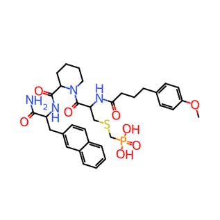 COc1ccc(CCCC(=O)NC(CSCP(=O)(O)O)C(=O)N2CCCCC2C(=O)NC(Cc2ccc3ccccc3c2)C(N)=O)cc1